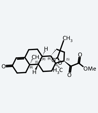 COC(=O)C(=O)[C@@]12CC[C@@]3(OC(C)O1)[C@@H]1CCC4=CC(=O)CC[C@]4(C)[C@H]1CC[C@]23C